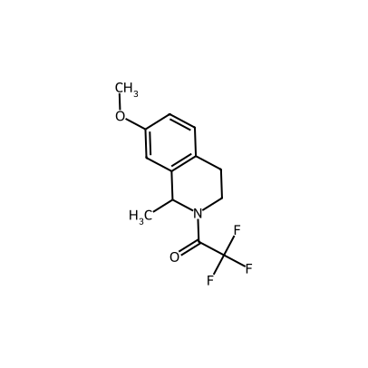 COc1ccc2c(c1)C(C)N(C(=O)C(F)(F)F)CC2